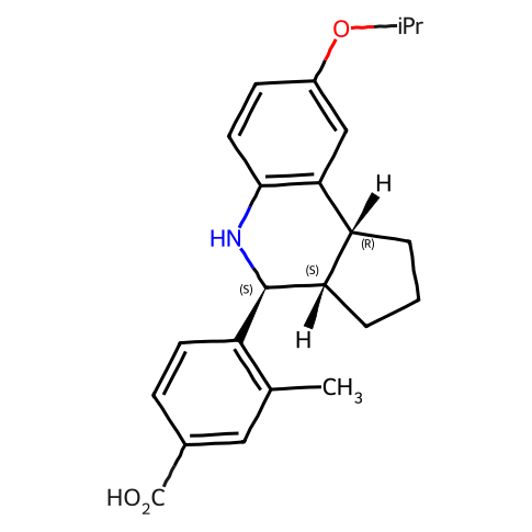 Cc1cc(C(=O)O)ccc1[C@H]1Nc2ccc(OC(C)C)cc2[C@@H]2CCC[C@H]12